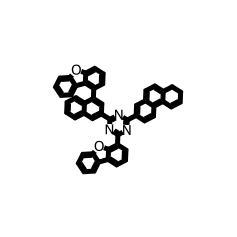 C1=Cc2c(ccc3cc(-c4nc(-c5cc(-c6cccc7oc8ccccc8c67)c6ccccc6c5)nc(-c5cccc6c5oc5ccccc56)n4)ccc23)CC1